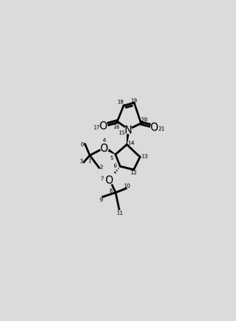 CC(C)(C)O[C@@H]1[C@@H](OC(C)(C)C)CC[C@@H]1N1C(=O)C=CC1=O